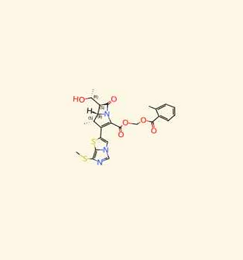 CSc1ncn2cc(C3=C(C(=O)OCOC(=O)c4ccccc4C)N4C(=O)[C@H]([C@@H](C)O)[C@H]4[C@H]3C)sc12